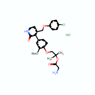 COc1cc(-c2c(COc3ccc(Cl)cc3)cc[nH]c2=O)ccc1OCC(C)(C)OC(=O)CN.Cl